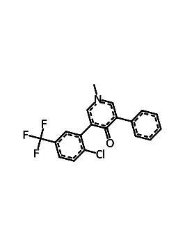 Cn1cc(-c2ccccc2)c(=O)c(-c2cc(C(F)(F)F)ccc2Cl)c1